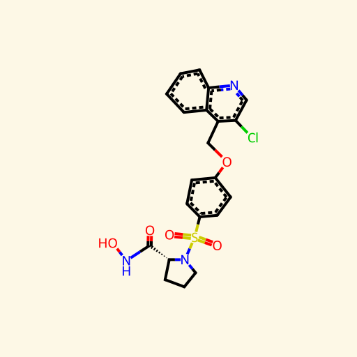 O=C(NO)[C@H]1CCCN1S(=O)(=O)c1ccc(OCc2c(Cl)cnc3ccccc23)cc1